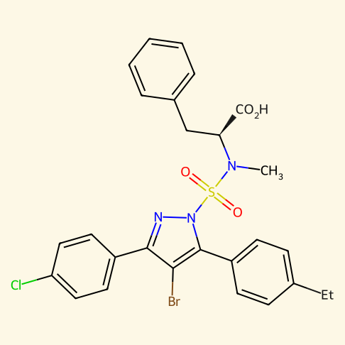 CCc1ccc(-c2c(Br)c(-c3ccc(Cl)cc3)nn2S(=O)(=O)N(C)[C@@H](Cc2ccccc2)C(=O)O)cc1